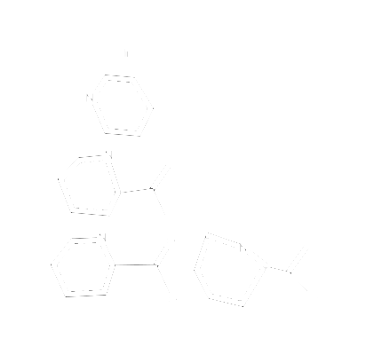 O=C([O-])c1ccccn1.O=C([O-])c1ccccn1.O=C([O-])c1ccccn1.[Ir+3].c1ccncc1